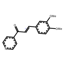 COc1ccc(/C=C/C(=O)c2ccncc2)cc1OC